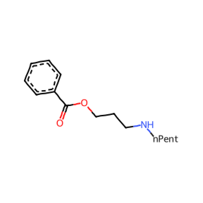 CCCCCNCCCOC(=O)c1ccccc1